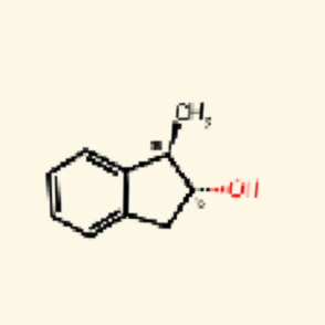 C[C@@H]1c2ccccc2C[C@H]1O